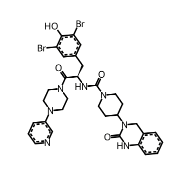 O=C(N[C@H](Cc1cc(Br)c(O)c(Br)c1)C(=O)N1CCN(c2cccnc2)CC1)N1CCC(N2Cc3ccccc3NC2=O)CC1